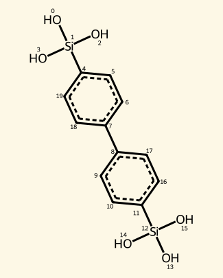 O[Si](O)(O)c1ccc(-c2ccc([Si](O)(O)O)cc2)cc1